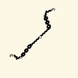 CC(C)CCCC(C)CCOc1ccc(-c2ccc(C3CCC(C)(CCCCCCCCOCCCCCCCCC4(C)CCC(c5ccc(-c6ccc(OCCC(C)CCCC(C)C)cc6)cc5)CC4)CC3)cc2)cc1